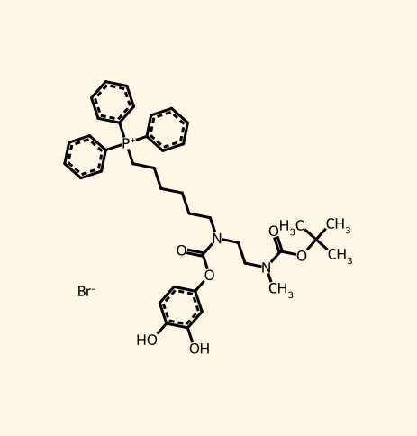 CN(CCN(CCCCCC[P+](c1ccccc1)(c1ccccc1)c1ccccc1)C(=O)Oc1ccc(O)c(O)c1)C(=O)OC(C)(C)C.[Br-]